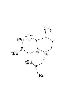 CC1CC[C@H](CP(C(C)(C)C)C(C)(C)C)[C@H](CP(C(C)(C)C)C(C)(C)C)C1C